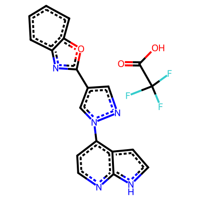 O=C(O)C(F)(F)F.c1ccc2oc(-c3cnn(-c4ccnc5[nH]ccc45)c3)nc2c1